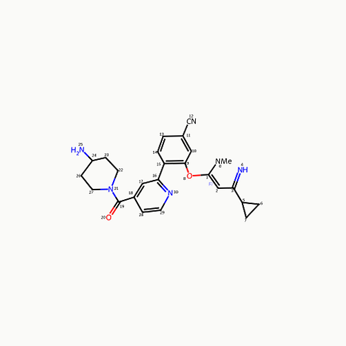 CN/C(=C\C(=N)C1CC1)Oc1cc(C#N)ccc1-c1cc(C(=O)N2CCC(N)CC2)ccn1